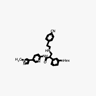 CCCCCCc1cccc(C(CNCCc2ccc(C#N)cc2)C(=O)Nc2ccc(-c3cnn(C)c3)cn2)c1